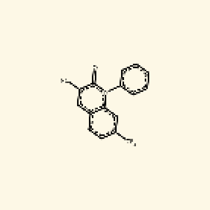 N#Cc1cc2ccc(C(F)(F)F)cc2n(-c2ccccc2)c1=O